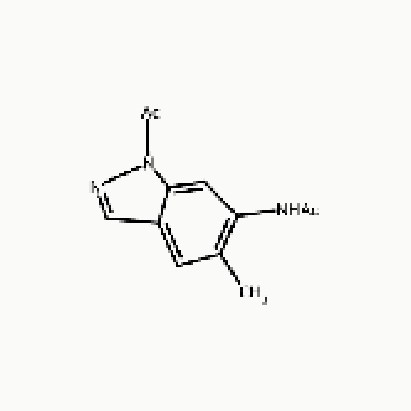 CC(=O)Nc1cc2c(cnn2C(C)=O)cc1C